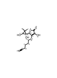 CC1(C)C(O)[C@]1(O)[C@H]1OC(=O)C(O)=C1OCCCCC#N